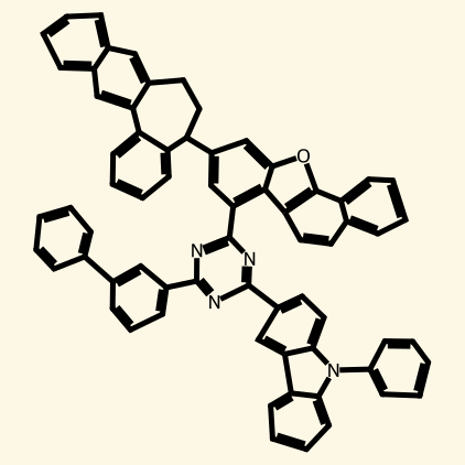 c1ccc(-c2cccc(-c3nc(-c4ccc5c(c4)c4ccccc4n5-c4ccccc4)nc(-c4cc(C5CCc6cc7ccccc7cc6-c6ccccc65)cc5oc6c7ccccc7ccc6c45)n3)c2)cc1